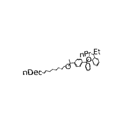 CCCCCCCCCCCCCCCCCCOC(C)c1ccc(C(=O)Oc2ccccc2C(CC)CCC)cc1